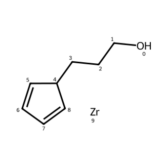 OCCCC1C=CC=C1.[Zr]